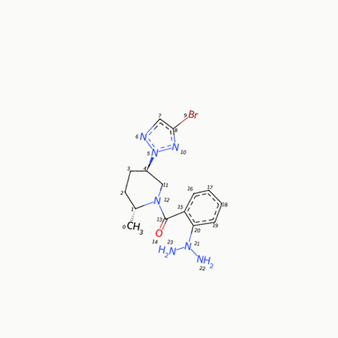 C[C@@H]1CC[C@@H](n2ncc(Br)n2)CN1C(=O)c1ccccc1N(N)N